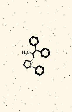 C[C@H](C[C@H]1CCC[P@]1c1ccccc1)P(c1ccccc1)c1ccccc1